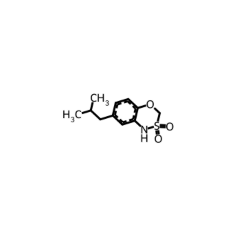 CC(C)Cc1ccc2c(c1)NS(=O)(=O)CO2